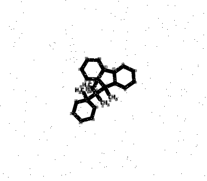 CC1(C(C)(C)C2(C)C3CCCCC3C3CCCCC32C)CCCCC1